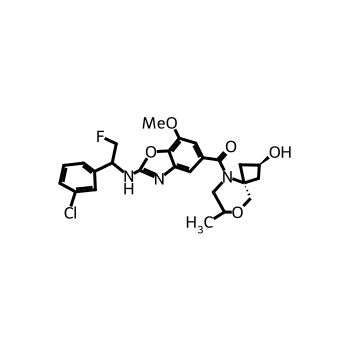 COc1cc(C(=O)N2CC(C)OC[C@]23C[C@H](O)C3)cc2nc(NC(CF)c3cccc(Cl)c3)oc12